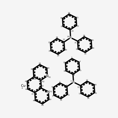 [Cu].c1ccc(P(c2ccccc2)c2ccccc2)cc1.c1ccc(P(c2ccccc2)c2ccccc2)cc1.c1cnc2c(c1)ccc1cccnc12